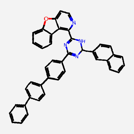 c1ccc(-c2ccc(-c3ccc(C4=NC(c5ccc6ccccc6c5)NC(c5nccc6oc7ccccc7c56)=N4)cc3)cc2)cc1